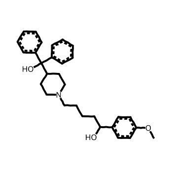 COc1ccc(C(O)CCCCN2CCC(C(O)(c3ccccc3)c3ccccc3)CC2)cc1